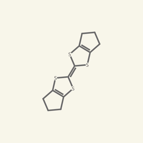 C1CC2=C(C1)SC(=C1SC3=C(CCC3)S1)S2